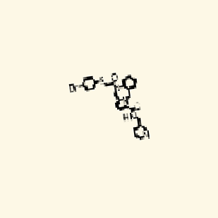 O=C(NCc1cccnc1)c1ccc2n1Cc1ccccc1N(C(=O)CSc1ccc(Br)cc1)C2